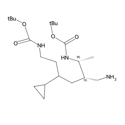 C[C@@H](NC(=O)OC(C)(C)C)[C@H](CN)CC(CCNC(=O)OC(C)(C)C)C1CC1